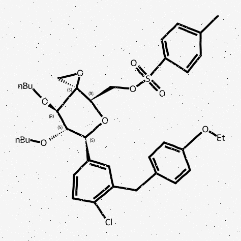 CCCCO[C@@H]1[C@@H](OCCCC)[C@]2(CO2)[C@@H](COS(=O)(=O)c2ccc(C)cc2)O[C@H]1c1ccc(Cl)c(Cc2ccc(OCC)cc2)c1